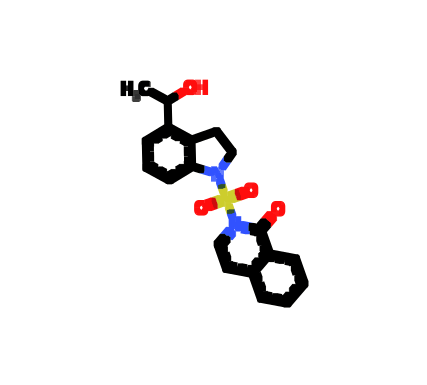 CC(O)c1cccc2c1CCN2S(=O)(=O)n1ccc2ccccc2c1=O